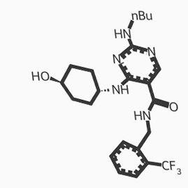 CCCCNc1ncc(C(=O)NCc2ccccc2C(F)(F)F)c(N[C@H]2CC[C@H](O)CC2)n1